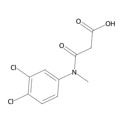 CN(C(=O)CC(=O)O)c1ccc(Cl)c(Cl)c1